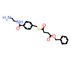 NCCNC(=O)c1ccc(CSC(=O)CCC(=O)OCc2ccccc2)cc1